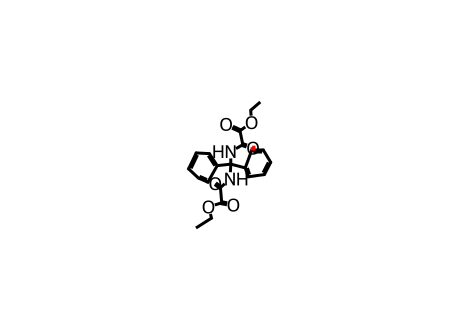 CCOC(=O)C(=O)NC(NC(=O)C(=O)OCC)(c1ccccc1)c1ccccc1